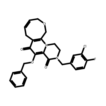 O=C1c2c(OCc3ccccc3)c(=O)c3c(n2CCN1Cc1ccc(F)c(Cl)c1)COCC=CC3